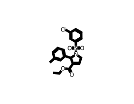 CCOC(=O)C1=CCN(S(=O)(=O)c2cccc(Cl)c2)C1c1cccc(C)c1